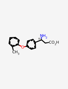 Cc1ccccc1Oc1ccc([C@@H](N)CC(=O)O)cc1